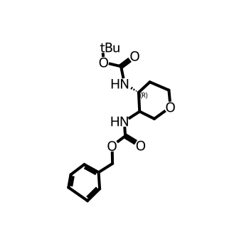 CC(C)(C)OC(=O)N[C@@H]1CCOCC1NC(=O)OCc1ccccc1